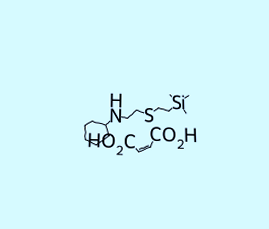 C[Si](C)(C)CCSCCNC1CCCCC1.O=C(O)/C=C\C(=O)O